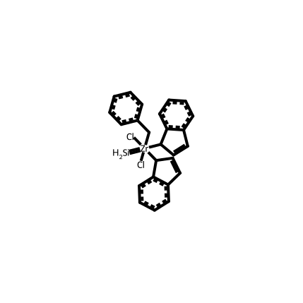 [SiH2]=[Zr]([Cl])([Cl])([CH2]c1ccccc1)([CH]1C=Cc2ccccc21)[CH]1C=Cc2ccccc21